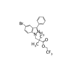 CC(C)(Cn1nc(-c2ccccc2)c2cc(Br)ccc21)C(=O)OCC(F)(F)F